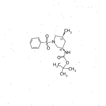 C[C@H]1C[C@@H](NC(=O)OC(C)(C)C)CN(S(=O)(=O)c2ccccc2)C1